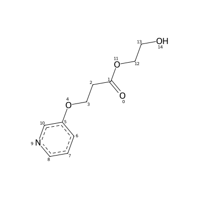 O=C(CCOc1cccnc1)OCCO